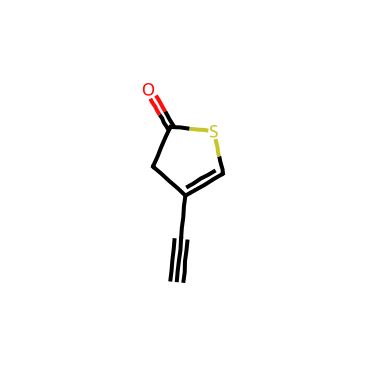 C#CC1=CSC(=O)C1